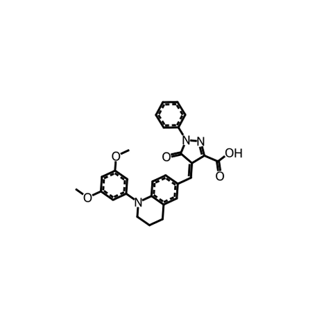 COc1cc(OC)cc(N2CCCc3cc(/C=C4\C(=O)N(c5ccccc5)N=C4C(=O)O)ccc32)c1